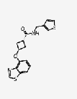 O=C(NCc1ccsc1)[C@H]1C[C@H](Oc2cccc3scnc23)C1